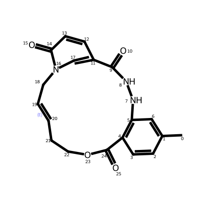 Cc1ccc2c(c1)NNC(=O)c1ccc(=O)n(c1)C/C=C/CCOC2=O